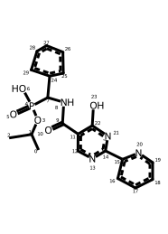 CC(C)OP(=O)(O)C(NC(=O)c1cnc(-c2ccccn2)nc1O)c1ccccc1